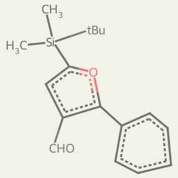 CC(C)(C)[Si](C)(C)c1cc(C=O)c(-c2ccccc2)o1